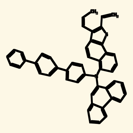 C=Cc1sc2c(ccc3c(N(c4ccc(-c5ccc(-c6ccccc6)cc5)cc4)c4cc5ccccc5c5ccccc45)cccc32)c1/C=C\C